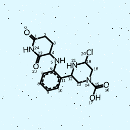 O=C1CCC(Nc2ccccc2C2CN(C(=O)O)CC(Cl)N2)C(=O)N1